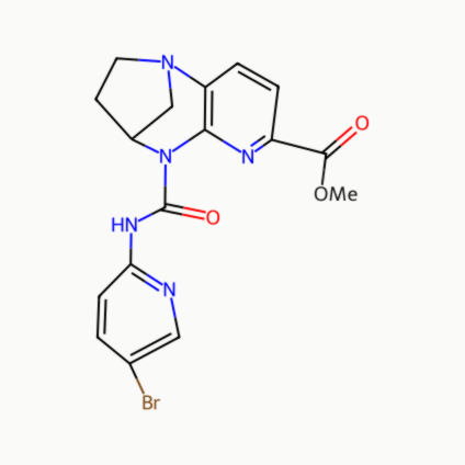 COC(=O)c1ccc2c(n1)N(C(=O)Nc1ccc(Br)cn1)C1CCN2C1